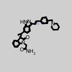 NC(=O)CN1C(=O)[C@@]2(CC2c2ccc3c(/C=C/c4ccc(CN5CCCCC5)cc4)n[nH]c3c2)c2ccccc21